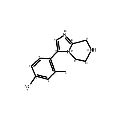 Cc1cc(C#N)ccc1-c1cnc2n1CCNC2